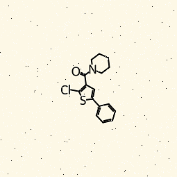 O=C(c1cc(-c2ccccc2)sc1Cl)N1CCCCC1